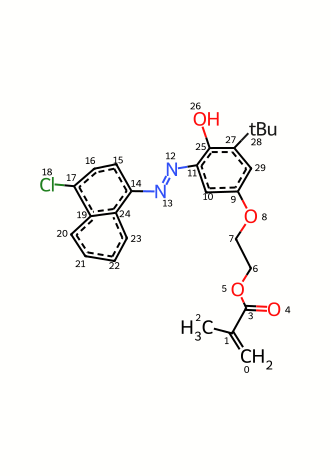 C=C(C)C(=O)OCCOc1cc(N=Nc2ccc(Cl)c3ccccc23)c(O)c(C(C)(C)C)c1